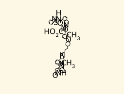 Cc1c(OC2CCC(CCCCN3CCC(c4cccc5c(C6CCC(=O)NC6=O)nn(C)c45)C3)CC2)cccc1-c1ccc(N2CCc3cccc(C(=O)Nc4nc5ccccc5s4)c3C2)nc1C(=O)O